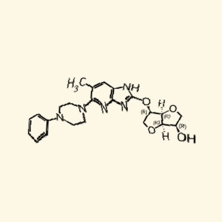 Cc1cc2[nH]c(O[C@@H]3CO[C@H]4[C@@H]3OC[C@H]4O)nc2nc1N1CCN(c2ccccc2)CC1